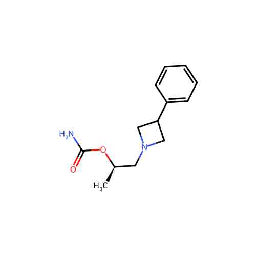 C[C@H](CN1CC(c2ccccc2)C1)OC(N)=O